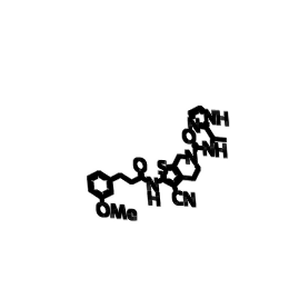 COc1cccc(CCC(=O)Nc2sc3c(c2C#N)CCN(C(=O)NC(C)c2ncc[nH]2)C3)c1